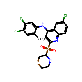 O=C(O)c1cc(Cl)c(F)cc1Nc1cc(S(=O)(=O)C2CSCCN2)nc2ccc(Cl)cc12